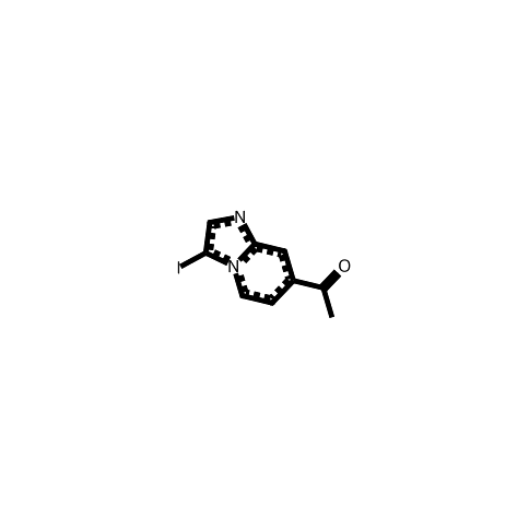 CC(=O)c1ccn2c(I)cnc2c1